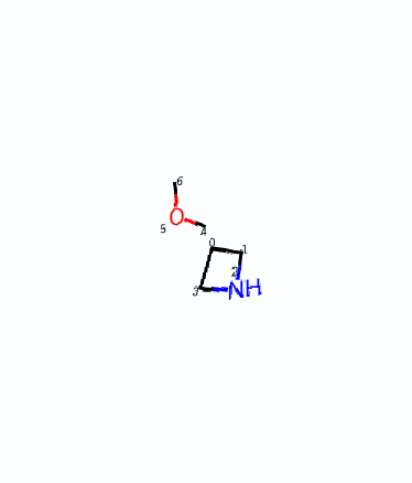 C1CNC1.COC